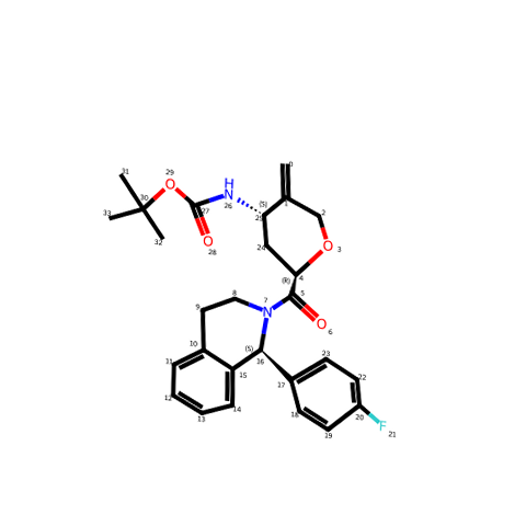 C=C1CO[C@@H](C(=O)N2CCc3ccccc3[C@@H]2c2ccc(F)cc2)C[C@@H]1NC(=O)OC(C)(C)C